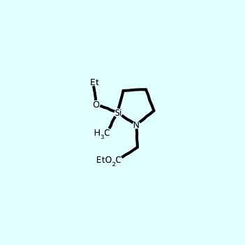 CCOC(=O)CN1CCC[Si]1(C)OCC